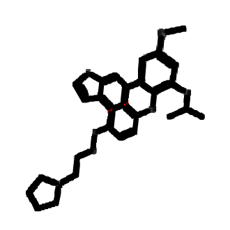 COc1cc(OC(C)C)c(Oc2ccc(SOCCN3CCCC3)cc2)c(-c2ccc3ccsc3c2)c1